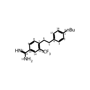 CCCCc1ccc(CCc2ccc(C(=N)N)cc2C(F)(F)F)cc1